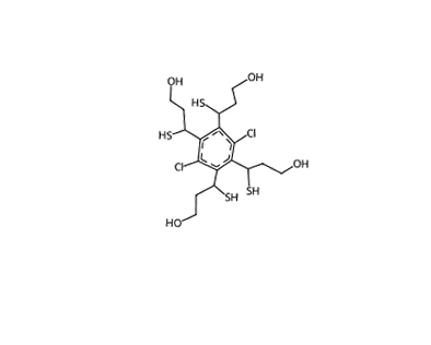 OCCC(S)c1c(Cl)c(C(S)CCO)c(C(S)CCO)c(Cl)c1C(S)CCO